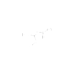 CC(C)POC(C)SCl